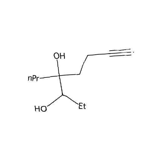 [C]#CCCC(O)(CCC)C(O)CC